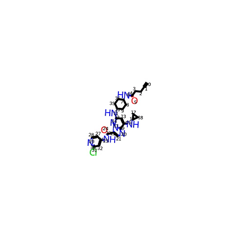 C#CCCC(=O)N[C@H]1CC[C@H](Nc2cc(NC3CC3)c3ncc(C(=O)Nc4ccnc(Cl)c4)n3n2)CC1